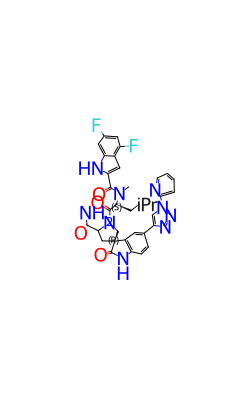 CC(C)C[C@@H](C(=O)N1C[C@]2(CC1C(N)=O)C(=O)Nc1ccc(-c3cn(-c4ccccn4)nn3)cc12)N(C)C(=O)c1cc2c(F)cc(F)cc2[nH]1